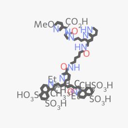 CCN1/C(=C/C=C(/C=C/C2C(C)(C)c3c(ccc4c(S(=O)(=O)O)cc(S(=O)(=O)O)cc34)[N+]2([O-])CC)c2ccc(C(=O)NCCCCCC(=O)NCc3cc4c(nc3CCCN3CCN([C@@H](CC(=O)O)c5ccc(OC)nc5)C3=O)NCCC4)cn2)C(C)(C)c2c1ccc1c(S(=O)(=O)O)cc(S(=O)(=O)O)cc21